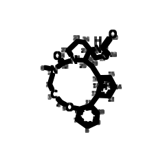 CN1CCCOc2ccccc2-c2cccc(c2F)CC2N(CCCC23COCC(=O)N3)C1=O